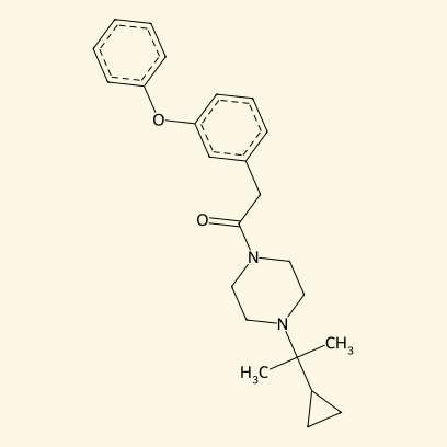 CC(C)(C1CC1)N1CCN(C(=O)Cc2cccc(Oc3ccccc3)c2)CC1